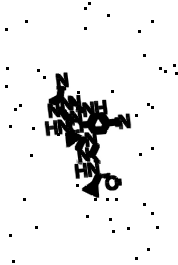 COC[C@H](NC[C@@H]1CN(c2cc(C#N)cc(Nc3nc(NC4CC4)c4ncc(C#N)n4n3)c2Cl)CCN1C)C1CC1